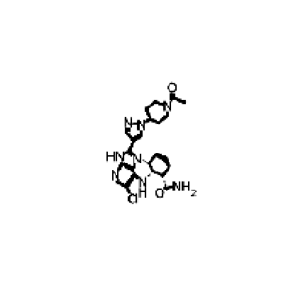 CC(=O)N1CCC(n2cc(-c3nc4c(N[C@@H]5[C@H](C)C=C=C[C@@H]5C(N)=O)c(Cl)cnc4[nH]3)cn2)CC1